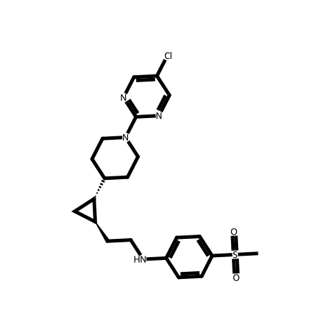 CS(=O)(=O)c1ccc(NCC[C@H]2C[C@@H]2C2CCN(c3ncc(Cl)cn3)CC2)cc1